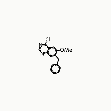 COc1cc2c(Cl)ncnc2cc1Cc1ccccc1